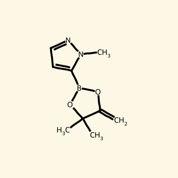 C=C1OB(c2ccnn2C)OC1(C)C